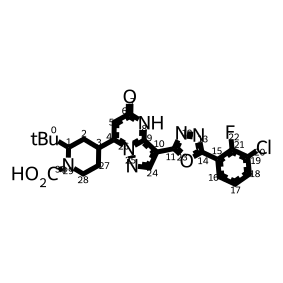 CC(C)(C)C1CC(c2cc(=O)[nH]c3c(-c4nnc(-c5cccc(Cl)c5F)o4)cnn23)CCN1C(=O)O